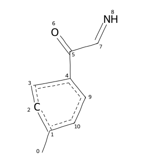 Cc1ccc(C(=O)C=N)cc1